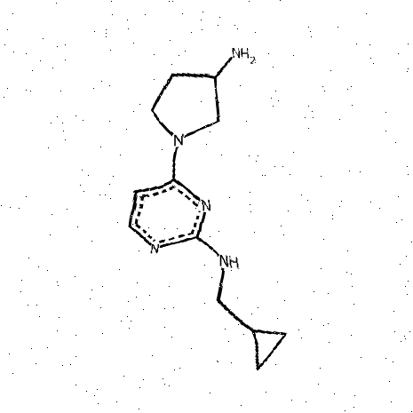 NC1CCN(c2ccnc(NCC3CC3)n2)C1